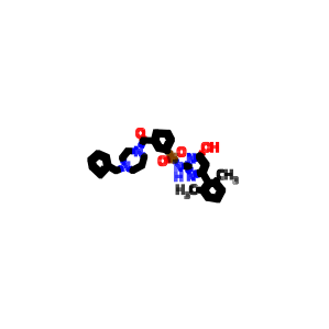 Cc1cccc(C)c1-c1cc(O)nc(NS(=O)(=O)c2cccc(C(=O)N3CCCN(Cc4ccccc4)CC3)c2)n1